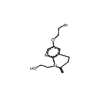 C=C1CCc2cc(OCCC(C)C)cnc2N1CCO